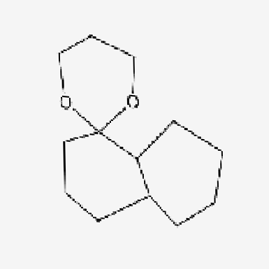 C1COC2(CCCC3CCCCC32)OC1